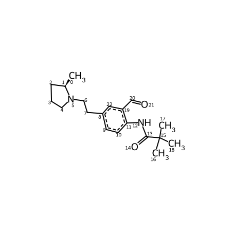 C[C@@H]1CCCN1CCc1ccc(NC(=O)C(C)(C)C)c(C=O)c1